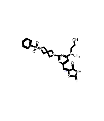 CN(CCO)c1cc(/C=C2/SC(=O)NC2=O)nc(N2CC3(C2)CN(S(=O)(=O)c2ccccc2)C3)n1